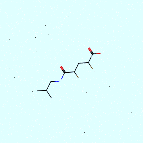 CC(C)CNC(=O)C(S)CC(S)C(=O)O